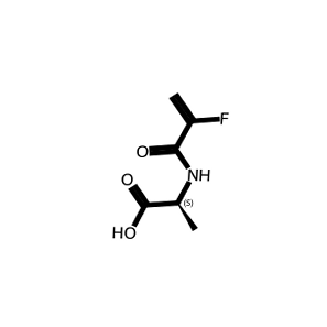 C=C(F)C(=O)N[C@@H](C)C(=O)O